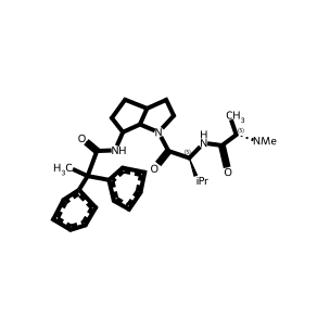 CN[C@@H](C)C(=O)N[C@H](C(=O)N1CCC2CCC(NC(=O)C(C)(c3ccccc3)c3ccccc3)C21)C(C)C